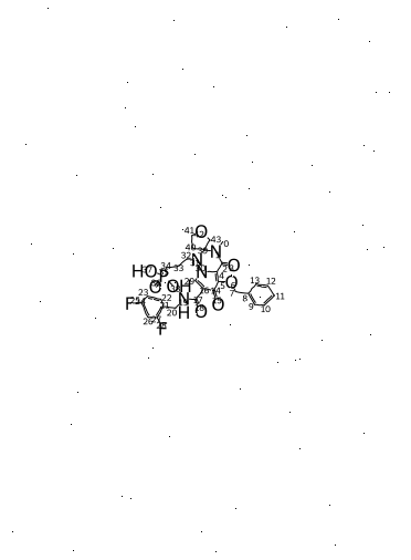 CN1C(=O)c2c(OCc3ccccc3)c(=O)c(C(=O)NCc3ccc(F)cc3F)cn2N(CCCP(=O)(O)O)C12CCOC2